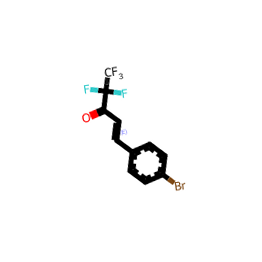 O=C(/C=C/c1ccc(Br)cc1)C(F)(F)C(F)(F)F